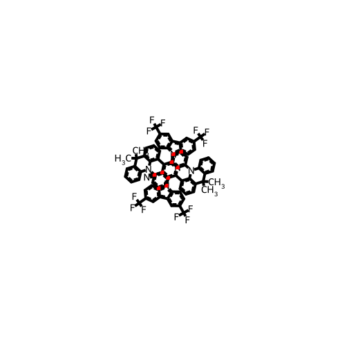 CC1(C)c2ccccc2N(c2ccccc2)c2c(-c3nc(-n4c5ccc(C(F)(F)F)cc5c5cc(C(F)(F)F)ccc54)c(-c4cccc5c4N(c4ccccc4)c4ccccc4C5(C)C)c(C#N)c3-n3c4ccc(C(F)(F)F)cc4c4cc(C(F)(F)F)ccc43)cccc21